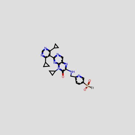 CCS(=O)(=O)c1ccc(CNc2nc3cnc(-c4c(C5CC5)ncnc4C4CC4)nc3n(C3CC3)c2=O)nc1